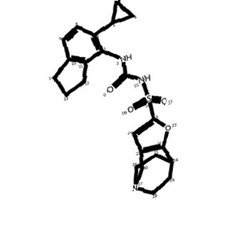 O=C(Nc1c(C2CC2)ccc2c1CCC2)NS(=O)(=O)c1cc2c(o1)C1CCN(CC1)C2